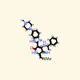 CN/C=C1/NC(=O)C(c2nc3ccc(N4CCN(C)CC4)cc3[nH]2)=C(NC(C)c2ccccc2)C1=N